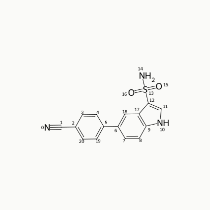 N#Cc1ccc(-c2ccc3[nH]cc(S(N)(=O)=O)c3c2)cc1